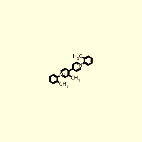 Cc1c[n+](-c2ccccc2C)ccc1-c1cc[n+](-c2ccccc2C)cc1